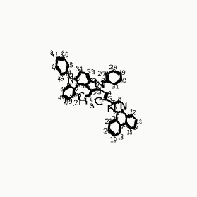 C=Cc1c(/C=C(\C)c2cnc3c4ccccc4c4ccccc4c3n2)n(-c2ccccc2)c2ccc3c(c4ccccc4n3-c3ccccc3)c12